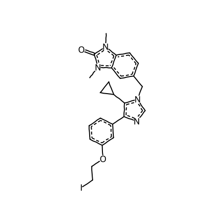 Cn1c(=O)n(C)c2cc(Cn3cnc(-c4cccc(OCCI)c4)c3C3CC3)ccc21